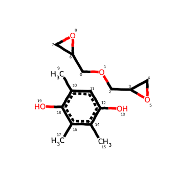 C(OCC1CO1)C1CO1.Cc1cc(O)c(C)c(C)c1O